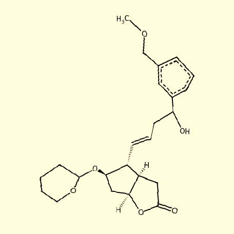 COCc1cccc(C(O)CC=C[C@@H]2[C@H]3CC(=O)O[C@H]3C[C@H]2OC2CCCCO2)c1